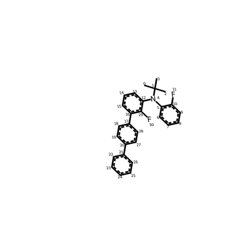 CC(C)(C)N(c1ccccc1F)c1cccc(-c2ccc(-c3ccccc3)cc2)c1F